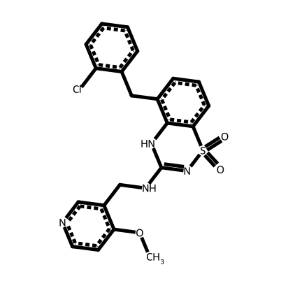 COc1ccncc1CNC1=NS(=O)(=O)c2cccc(Cc3ccccc3Cl)c2N1